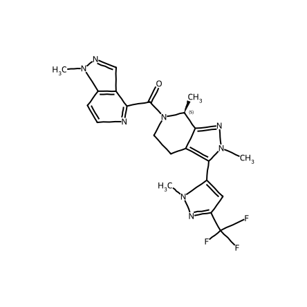 C[C@H]1c2nn(C)c(-c3cc(C(F)(F)F)nn3C)c2CCN1C(=O)c1nccc2c1cnn2C